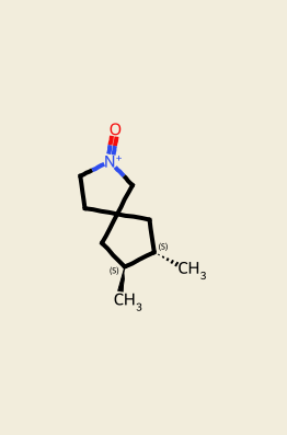 C[C@H]1CC2(CC[N+](=O)C2)C[C@@H]1C